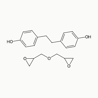 C(OCC1CO1)C1CO1.Oc1ccc(CCc2ccc(O)cc2)cc1